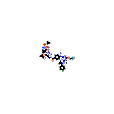 CC(C)(CNC(=O)c1ccc(Nc2nc(NC3(c4ccc(Cl)cc4)CC3)nc(OCC(F)(F)F)n2)cc1)C(=O)N[C@]1(C(=O)NS(=O)(=O)C2CC2)C[C@H]1C1CC1